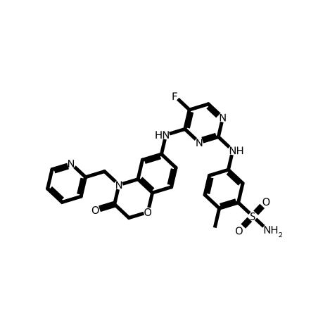 Cc1ccc(Nc2ncc(F)c(Nc3ccc4c(c3)N(Cc3ccccn3)C(=O)CO4)n2)cc1S(N)(=O)=O